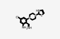 N=Cc1c(N)cc(Cl)cc1N1CCN(C2NC=CS2)CC1